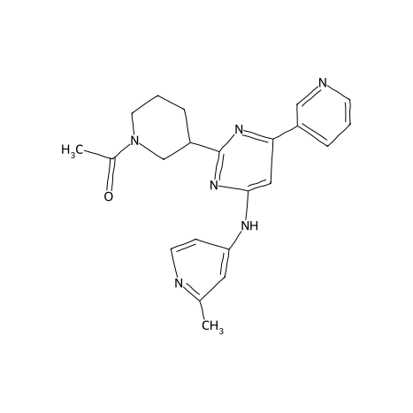 CC(=O)N1CCCC(c2nc(Nc3ccnc(C)c3)cc(-c3cccnc3)n2)C1